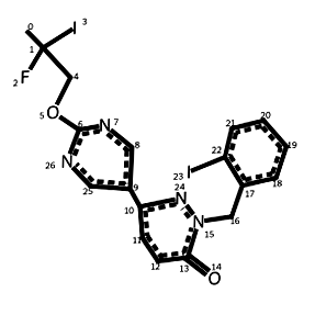 CC(F)(I)COc1ncc(-c2ccc(=O)n(Cc3ccccc3I)n2)cn1